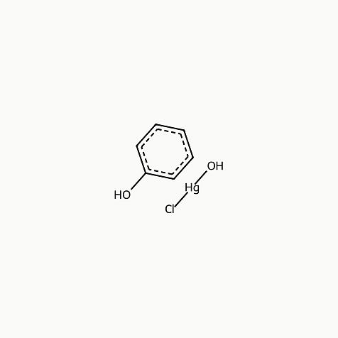 Oc1ccccc1.[OH][Hg][Cl]